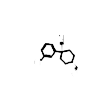 N#C[C@]1(c2cccc(Cl)c2)CC[C@H](C=O)CC1